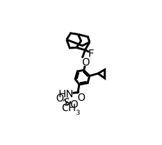 CS(=O)(=O)NC(=O)c1ccc(OCC2(F)C3CC4CC(C3)CC2C4)c(C2CC2)c1